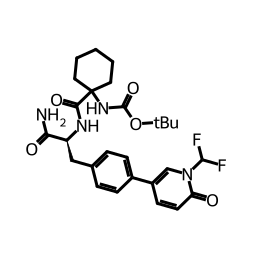 CC(C)(C)OC(=O)NC1(C(=O)N[C@@H](Cc2ccc(-c3ccc(=O)n(C(F)F)c3)cc2)C(N)=O)CCCCC1